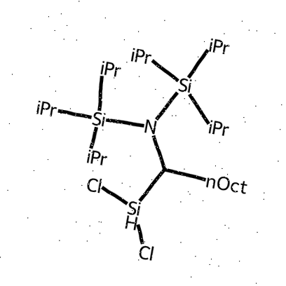 CCCCCCCCC(N([Si](C(C)C)(C(C)C)C(C)C)[Si](C(C)C)(C(C)C)C(C)C)[SiH](Cl)Cl